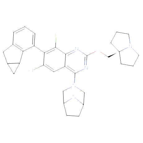 Fc1c(-c2cccc3c2C2CC2C3)c(Cl)cc2c(N3CC4CCC(C3)N4)nc(OC[C@@]34CCCN3C[C@H](F)C4)nc12